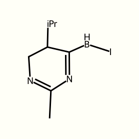 CC1=NCC(C(C)C)C(BI)=N1